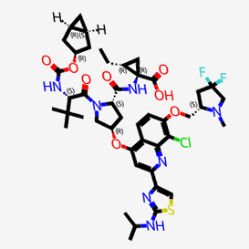 CC[C@@H]1C[C@]1(NC(=O)[C@@H]1C[C@@H](Oc2cc(-c3csc(NC(C)C)n3)nc3c(Cl)c(OC[C@@H]4CC(F)(F)CN4C)ccc23)CN1C(=O)[C@@H](NC(=O)O[C@@H]1C[C@@H]2C[C@@H]2C1)C(C)(C)C)C(=O)O